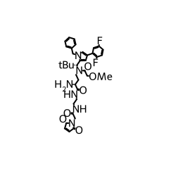 COCC(=O)N(CC[C@H](N)C(=O)NCCNC(=O)CN1C(=O)C=CC1=O)[C@@H](c1cc(-c2cc(F)ccc2F)cn1Cc1ccccc1)C(C)(C)C